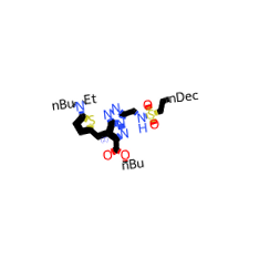 CCCCCCCCCCCCS(=O)(=O)NCc1nnc2/c(=C\c3ccc(N(CC)CCCC)s3)c(C(=O)OCCCC)nn12